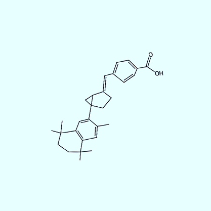 Cc1cc2c(cc1C13CC/C(=C\c4ccc(C(=O)O)cc4)C1C3)C(C)(C)CCC2(C)C